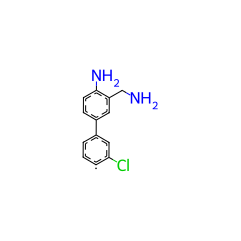 NCc1cc(-c2cc[c]c(Cl)c2)ccc1N